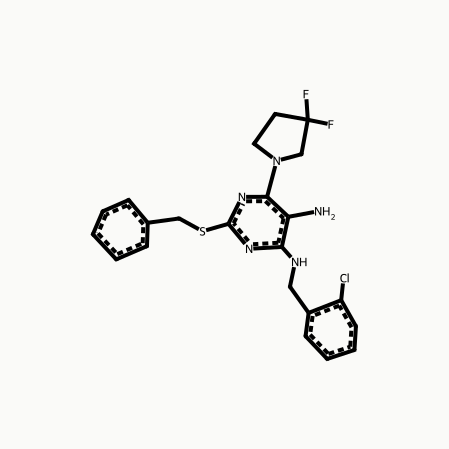 Nc1c(NCc2ccccc2Cl)nc(SCc2ccccc2)nc1N1CCC(F)(F)C1